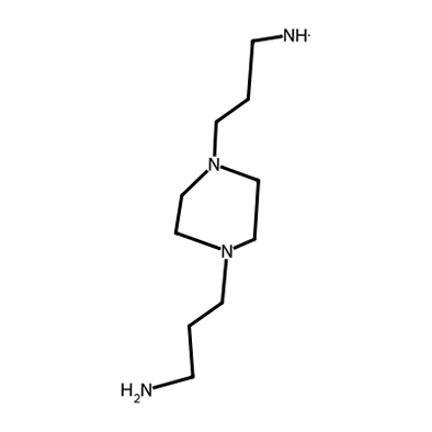 [NH]CCCN1CCN(CCCN)CC1